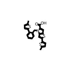 Cc1ccc(-c2cc3c(cc(C(=O)O)n3Cc3ccccc3-c3ccc(C)s3)s2)s1